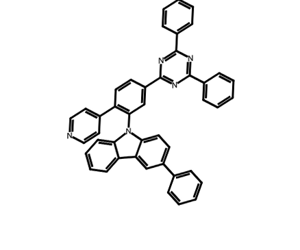 c1ccc(-c2ccc3c(c2)c2ccccc2n3-c2cc(-c3nc(-c4ccccc4)nc(-c4ccccc4)n3)ccc2-c2ccncc2)cc1